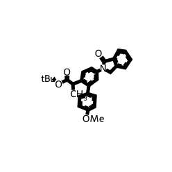 COc1ccc(-c2cc(N3Cc4ccccc4C3=O)ccc2C(C)C(=O)OC(C)(C)C)cc1